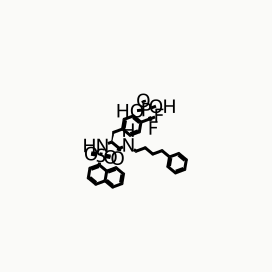 O=C(NCCCCc1ccccc1)[C@H](Cc1ccc(C(F)(F)P(=O)(O)O)cc1)NS(=O)(=O)c1cccc2ccccc12